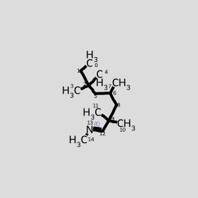 CCC(C)(C)CC(C)CC(C)(C)/C=N/C